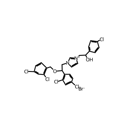 OC(C[n+]1ccn(CC(OCc2ccc(Cl)cc2Cl)c2ccc(Cl)cc2Cl)c1)c1ccc(Cl)cc1.[Br-]